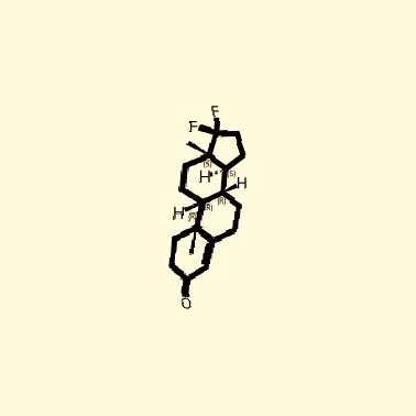 C[C@]12CCC(=O)C=C1CC[C@@H]1[C@H]2CC[C@@]2(C)[C@H]1CCC2(F)F